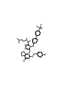 CC(c1nnc(Cn2c(SCc3ccc(F)cc3)nc(=O)c3c2CCC3)n1Cc1ccc(-c2ccc(C(F)(F)F)cc2)cc1)N(C)CCN(C)C